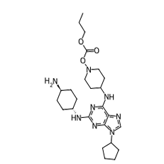 CCCOC(=O)ON1CCC(Nc2nc(N[C@H]3CC[C@H](N)CC3)nc3c2ncn3C2CCCC2)CC1